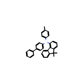 Cc1ccc(N(c2ccc(-c3ccccc3)cc2)c2cccc3c2-c2ccccc2C3(C)C)cc1